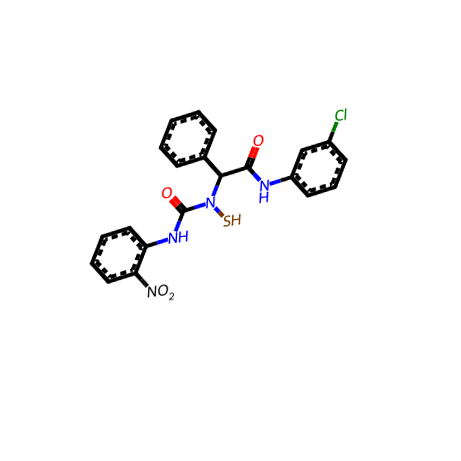 O=C(Nc1cccc(Cl)c1)C(c1ccccc1)N(S)C(=O)Nc1ccccc1[N+](=O)[O-]